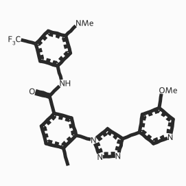 CNc1cc(NC(=O)c2ccc(C)c(-n3cc(-c4cncc(OC)c4)nn3)c2)cc(C(F)(F)F)c1